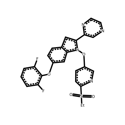 CCS(=O)(=O)c1ccc(On2c(-c3cnccn3)cc3ccc(Oc4c(F)cccc4F)cc32)cn1